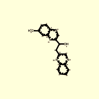 Cc1ccc2ncc(C(O)Cc3cnc4ccccc4n3)nc2c1